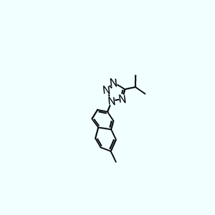 Cc1ccc2ccc(-n3nnc(C(C)C)n3)cc2c1